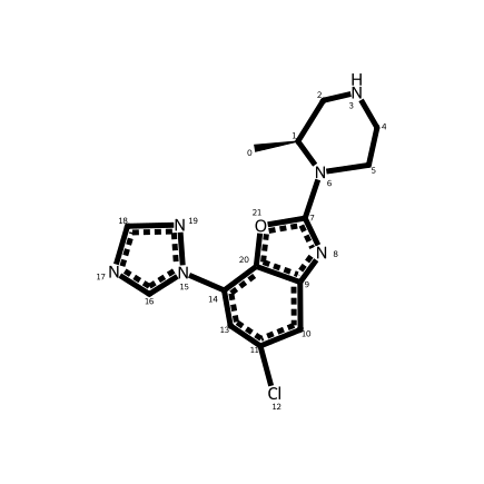 C[C@H]1CNCCN1c1nc2cc(Cl)cc(-n3cncn3)c2o1